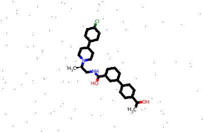 CC(O)C1CCC(C2CCCC(C(O)NC[C@@H](C)N3CCC(C4CCC(Cl)CC4)CC3)C2)CC1